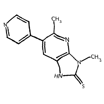 Cc1nc2c(cc1-c1ccncc1)[nH]c(=S)n2C